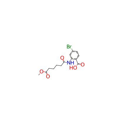 COC(=O)CCCCC(=O)Nc1cc(Br)ccc1C(=O)O